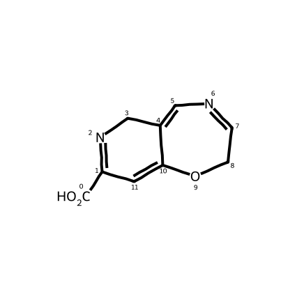 O=C(O)C1=NCC2=CN=CCOC2=C1